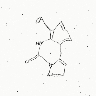 O=c1[nH]c2c(Cl)cccc2c2ccnn12